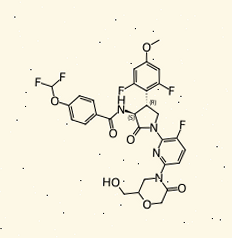 COc1cc(F)c([C@@H]2CN(c3nc(N4CC(CO)OCC4=O)ccc3F)C(=O)[C@H]2NC(=O)c2ccc(OC(F)F)cc2)c(F)c1